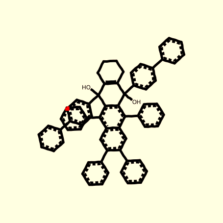 OC1(c2ccc(-c3ccccc3)cc2)C2=C(CCCC2)C(O)(c2ccc(-c3ccccc3)cc2)c2c1c(-c1ccccc1)c1cc(-c3ccccc3)c(-c3ccccc3)cc1c2-c1ccccc1